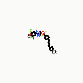 CCC1CC=C(CCCCC2CCC(C(F)(F)Oc3cnc(-c4cc(F)c(OC(F)(F)F)c(F)c4)nc3)CC2)CC1